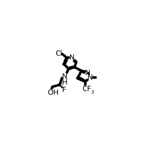 Cn1nc(-c2cnc(Cl)cc2NC[C@@H](F)CO)cc1C(F)(F)F